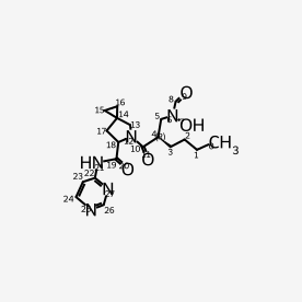 CCCC[C@H](CN(O)C=O)C(=O)N1CC2(CC2)CC1C(=O)Nc1ccncn1